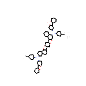 CC(C)c1ccc(N(c2ccc3c(ccc4c5cc6oc7cc(N(c8ccc(C(C)C)cc8)c8ccc9oc%10ccccc%10c9c8)c8ccccc8c7c6cc5oc34)c2)c2ccc3oc4ccccc4c3c2)cc1